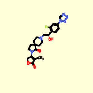 CC1=C(N2CCC3(CCN(C[C@@H](O)c4ccc(-n5cnnn5)cc4F)CC3)C2=O)COC1=O